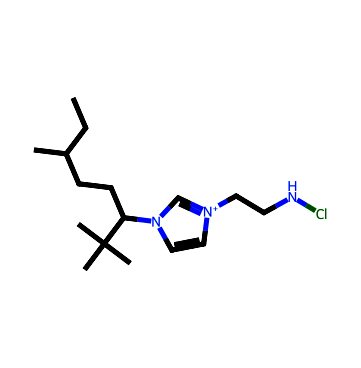 CCC(C)CCC(n1cc[n+](CCNCl)c1)C(C)(C)C